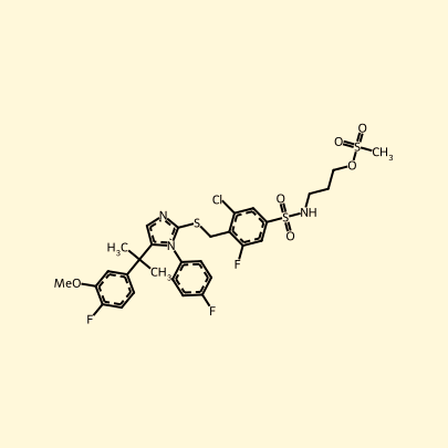 COc1cc(C(C)(C)c2cnc(SCc3c(F)cc(S(=O)(=O)NCCCOS(C)(=O)=O)cc3Cl)n2-c2ccc(F)cc2)ccc1F